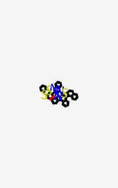 c1ccc2c(c1)Sc1cccc(-c3nc4ccccc4nc3-n3c4ccccc4c4c5ccccc5c5c(sc6ccc7ccccc7c65)c43)c1S2